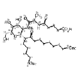 CCCCCCCCCCCCCCCCCC(=O)N(CCCCCCCCCCCCCC)[C@@H]1O[C@H](CO)[C@@H](O)[C@H](O)[C@H]1NC(=O)[C@H](C)NC(=O)CCCC(=O)O